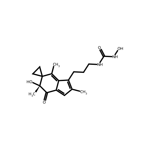 CC1=C(CCCNC(=O)NO)C2=C(C)C3(CC3)[C@@](C)(O)C(=O)C2=C1